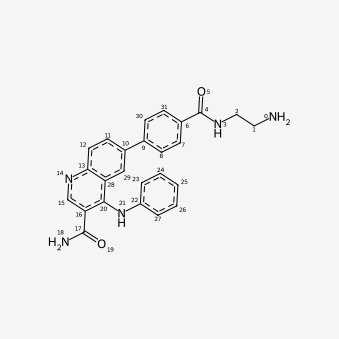 NCCNC(=O)c1ccc(-c2ccc3ncc(C(N)=O)c(Nc4ccccc4)c3c2)cc1